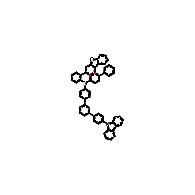 c1ccc(-c2ccc(N(c3ccc(-c4cccc(-c5ccc(-n6c7ccccc7c7ccccc76)cc5)c4)cc3)c3ccccc3-c3ccc4c(c3)oc3ccccc34)cc2)cc1